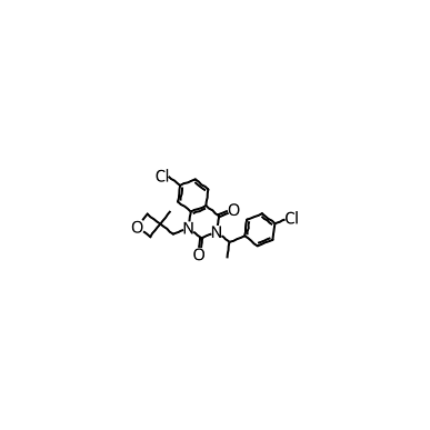 CC(c1ccc(Cl)cc1)n1c(=O)c2ccc(Cl)cc2n(CC2(C)COC2)c1=O